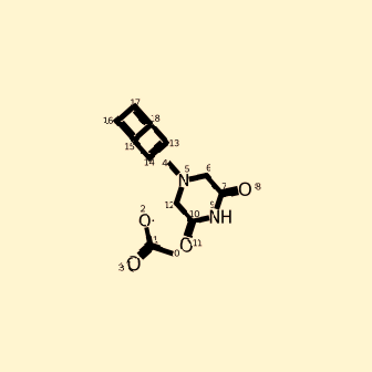 CC([O])=O.CN1CC(=O)NC(=O)C1.c1cc2ccc1-2